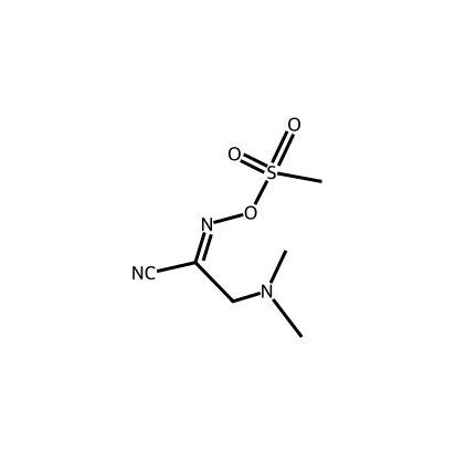 CN(C)CC(C#N)=NOS(C)(=O)=O